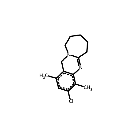 Cc1cc(Cl)c(C)c2c1CN1CCCCCC1=N2